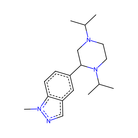 CC(C)N1CCN(C(C)C)C(c2ccc3c(cnn3C)c2)C1